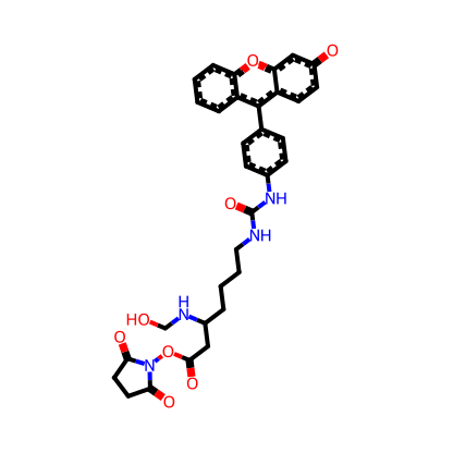 O=C(NCCCCC(CC(=O)ON1C(=O)CCC1=O)NCO)Nc1ccc(-c2c3ccc(=O)cc-3oc3ccccc23)cc1